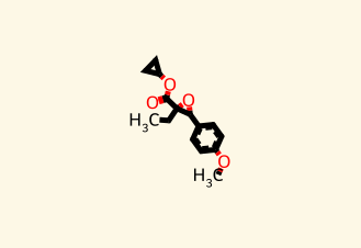 CCC1(C(=O)OC2CC2)OC1c1ccc(OC)cc1